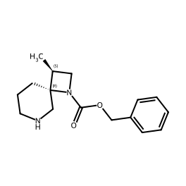 C[C@H]1CN(C(=O)OCc2ccccc2)[C@]12CCCNC2